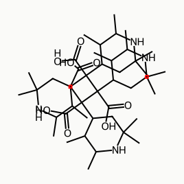 CC1NC(C)(C)CC(C(CC(=O)O)(C(=O)O)C(C(=O)O)(C2CC(C)(C)NC(C)C2C)C(C(=O)O)(C2CC(C)(C)NC(C)C2C)C2CC(C)(C)NC(C)C2C)C1C